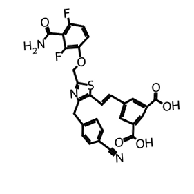 N#Cc1ccc(Cc2nc(COc3ccc(F)c(C(N)=O)c3F)sc2C=Cc2cc(C(=O)O)cc(C(=O)O)c2)cc1